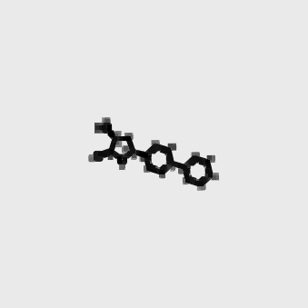 O=C1O[C@H](c2ccc(-c3ccccc3)cc2)C[C@@H]1O